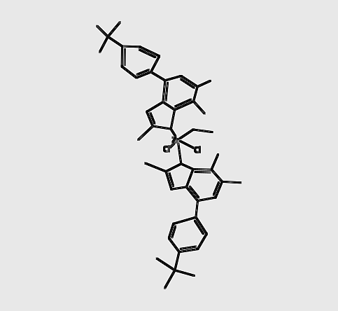 C[CH2][Zr]([Cl])([Cl])([CH]1C(C)=Cc2c(-c3ccc(C(C)(C)C)cc3)cc(C)c(C)c21)[CH]1C(C)=Cc2c(-c3ccc(C(C)(C)C)cc3)cc(C)c(C)c21